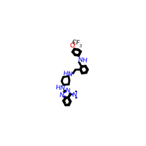 CN(C)c1nc(N[C@H]2CC[C@@H](NCCc3ccccc3CNc3ccc(OC(F)(F)F)cc3)CC2)nc2ccccc12